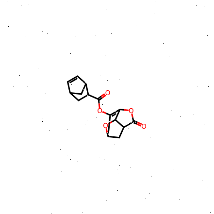 O=C(OC1=C2OC(=O)C3CC1OC23)C1CC2C=CC1C2